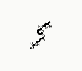 COC(=O)NCCC[C@H](C)Oc1cccc(Nc2cc(C)[nH]n2)n1